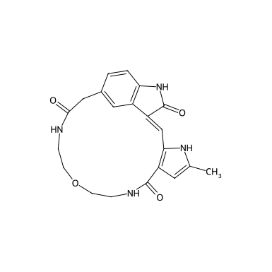 Cc1cc2c([nH]1)/C=C1\C(=O)Nc3ccc(cc31)CC(=O)NCCOCCNC2=O